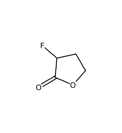 O=C1OCCC1F